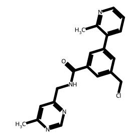 Cc1cc(CNC(=O)c2cc(CCl)cc(-c3cccnc3C)c2)ncn1